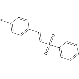 O=S(=O)(/C=C/c1ccc(F)cc1)c1ccccc1